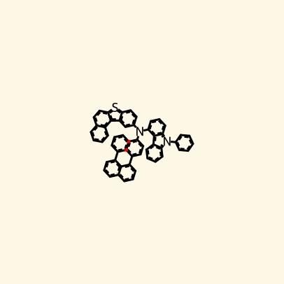 c1ccc(-c2cccc3cccc(-c4ccc(N(c5ccc6sc7ccc8ccccc8c7c6c5)c5cccc6c5c5ccccc5n6-c5ccccc5)cc4)c23)cc1